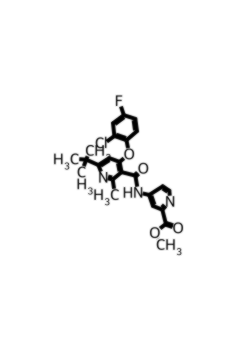 COC(=O)c1cc(NC(=O)c2c(Oc3ccc(F)cc3Cl)cc(C(C)(C)C)nc2C)ccn1